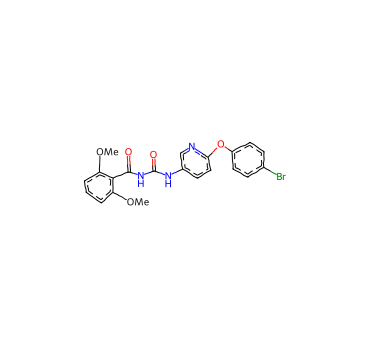 COc1cccc(OC)c1C(=O)NC(=O)Nc1ccc(Oc2ccc(Br)cc2)nc1